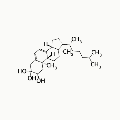 CC(C)CCC[C@@H](C)[C@H]1CC[C@H]2C3=CC=C4CC(O)(O)[C@H](O)C[C@]4(C)[C@H]3CC[C@]12C